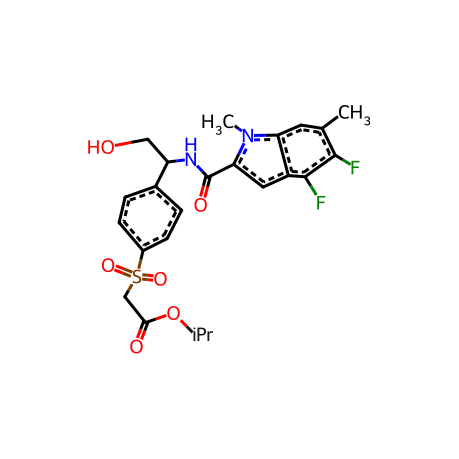 Cc1cc2c(cc(C(=O)NC(CO)c3ccc(S(=O)(=O)CC(=O)OC(C)C)cc3)n2C)c(F)c1F